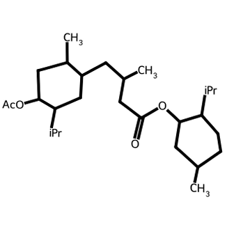 CC(=O)OC1CC(C)C(CC(C)CC(=O)OC2CC(C)CCC2C(C)C)CC1C(C)C